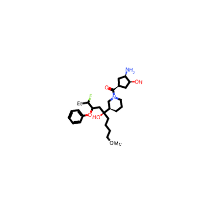 CCC(F)C(C[C@@](O)(CCCCOC)[C@@H]1CCCN(C(=O)[C@H]2C[C@@H](N)[C@@H](O)C2)C1)Oc1ccccc1